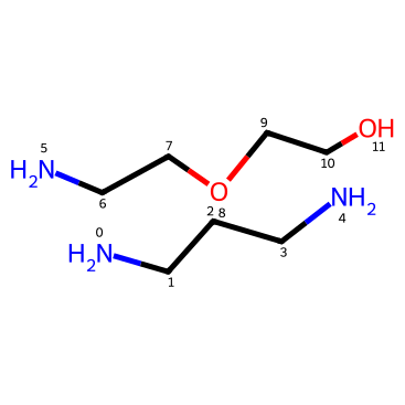 NCCCN.NCCOCCO